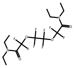 CCN(CC)C(=O)C(F)(F)OC(F)(F)C(F)(F)OC(F)(F)C(=O)N(CC)CC